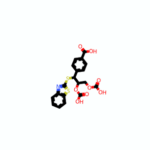 O=C(O)OCC(OC(=O)O)C(Sc1nc2ccccc2s1)c1ccc(C(=O)O)cc1